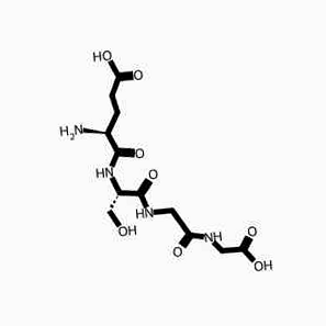 N[C@@H](CCC(=O)O)C(=O)N[C@@H](CO)C(=O)NCC(=O)NCC(=O)O